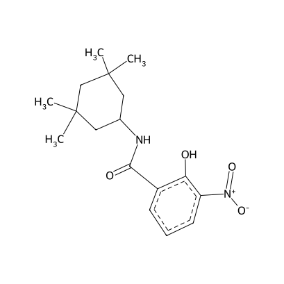 CC1(C)CC(NC(=O)c2cccc([N+](=O)[O-])c2O)CC(C)(C)C1